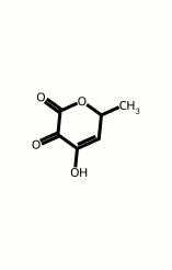 CC1C=C(O)C(=O)C(=O)O1